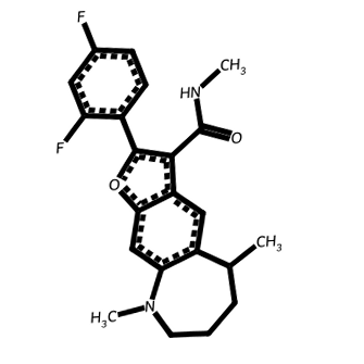 CNC(=O)c1c(-c2ccc(F)cc2F)oc2cc3c(cc12)C(C)CCCN3C